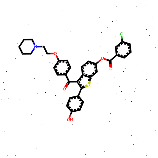 O=C(Oc1ccc2c(C(=O)c3ccc(OCCN4CCCCC4)cc3)c(-c3ccc(O)cc3)sc2c1)c1cccc(Cl)c1